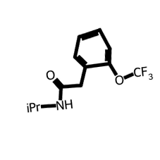 CC(C)NC(=O)Cc1ccccc1OC(F)(F)F